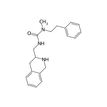 CN(CCc1ccccc1)C(=O)NCC1Cc2ccccc2CN1